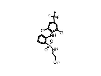 O=S(=O)(NCCO)c1ccccc1Nc1c(Cl)cc(C(F)(F)F)cc1Cl